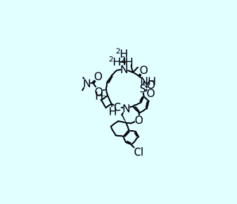 [2H]C([2H])([2H])N1CC=C[C@H](OC(=O)N(C)C)[C@@H]2CC[C@H]2CN2C[C@@]3(CCCc4cc(Cl)ccc43)COc3ccc(cc32)S(=O)(=O)NC(=O)C1(C)C